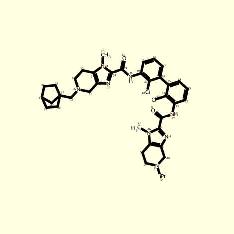 CC(C)N1CCc2c(nc(C(=O)Nc3cccc(-c4cccc(NC(=O)c5nc6c(n5C)CCN(CC57CCC(CC5)C7)C6)c4Cl)c3Cl)n2C)C1